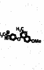 COc1ccc2c(Oc3ccc(S(C)(=N)=O)cc3)cc(C)nc2c1